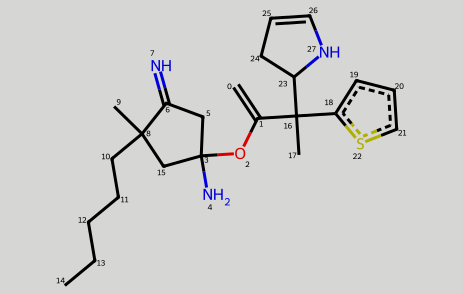 C=C(OC1(N)CC(=N)C(C)(CCCCC)C1)C(C)(c1cccs1)C1CC=CN1